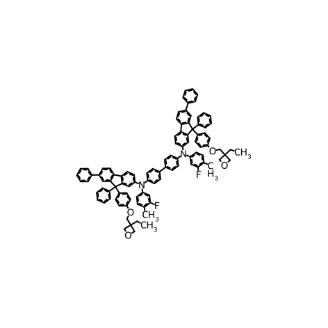 CCC1(COc2ccc(C3(c4ccccc4)c4cc(-c5ccccc5)ccc4-c4ccc(N(c5ccc(-c6ccc(N(c7ccc(C)c(F)c7)c7ccc8c(c7)C(c7ccccc7)(c7ccc(OCC9(CC)COC9)cc7)c7cc(-c9ccccc9)ccc7-8)cc6)cc5)c5ccc(C)c(F)c5)cc43)cc2)COC1